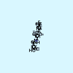 COc1cc(/C=N/NC(=O)c2ccc(O)c(Cl)c2)cc(OC)c1OCc1ccc(C(F)(F)F)cn1